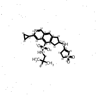 CC(C)(F)CNS(=O)(=O)c1c2c(cc3cnc(C4CC4)cc13)CC(NC1=CS(=O)(=O)CC1)C2